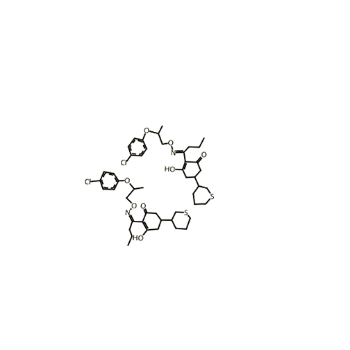 CCC/C(=N\OCC(C)Oc1ccc(Cl)cc1)C1=C(O)CC(C2CCCSC2)CC1=O.CCCC(=NOCC(C)Oc1ccc(Cl)cc1)C1=C(O)CC(C2CCCSC2)CC1=O